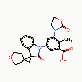 Cc1c(C(=O)O)cc(N2C(=O)[C@@]3(CC34CCOCC4)c3ccccc32)cc1N1CCOC1=O